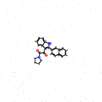 O=C(C(=O)N1CCCC1)c1c(-c2ccc3ccccc3c2)[nH]c2ccccc12